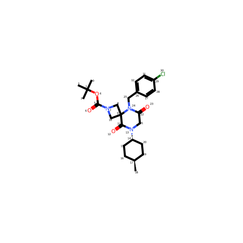 CC(C)(C)OC(=O)N1CC2(C1)C(=O)N([C@H]1CC[C@H](C)CC1)CC(=O)N2Cc1ccc(Cl)cc1